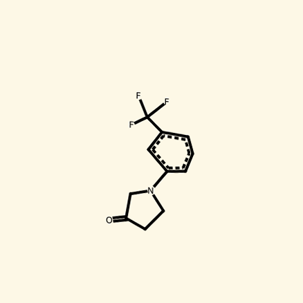 O=C1CCN(c2cccc(C(F)(F)F)c2)C1